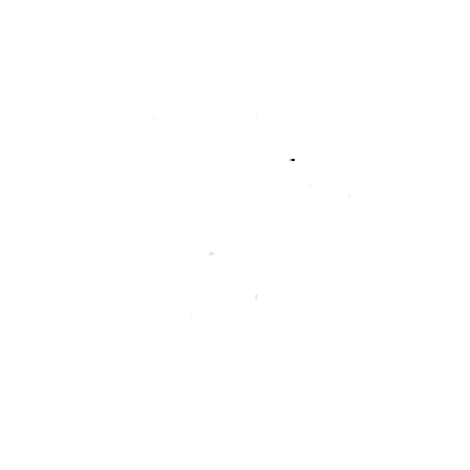 CN(C)C[C@H](Oc1ccc(C(F)(F)F)cc1)[C@H]1CCCN(CC2(c3ccc(Cl)cc3)CCC2)C1